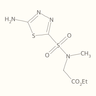 CCOC(=O)CN(C)S(=O)(=O)c1nnc(N)s1